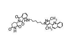 Cc1nn(CCCCCCNc2cccc3c2C(=O)N(C2CCC(=O)NC2=O)C3=O)c(C)c1-c1ccc2ccccc2n1